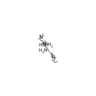 C=C/C=C\C(=C/C)CC(=C)N(C)C(=C)SC(=C)CCCC/C(N)=C/C=C(\N)NC(=O)C/C(C)=C/C(=C\C)C(C)N(I)C(=C)CC